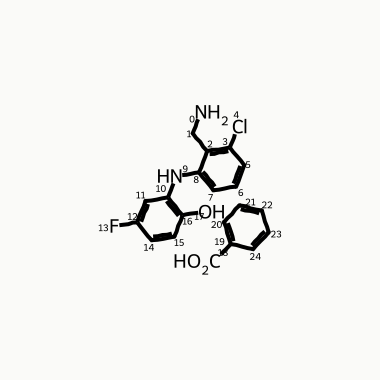 NCc1c(Cl)cccc1Nc1cc(F)ccc1O.O=C(O)c1ccccc1